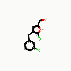 O=Cc1cc(Cc2cccc(Cl)c2)c(Cl)o1